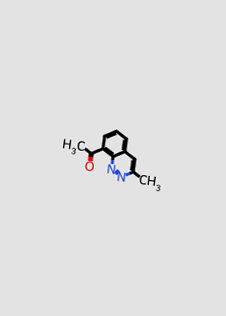 CC(=O)c1cccc2cc(C)nnc12